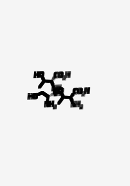 CC(C)[C@H](N)CO.CC(O)[C@@H](N)C(=O)O.CC(O)[C@H](N)C(=O)O